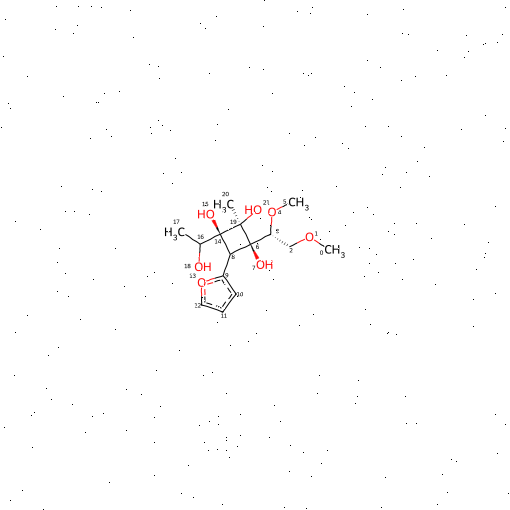 COC[C@@H](OC)[C@]1(O)C(c2ccco2)[C@](O)(C(C)O)[C@@]1(C)O